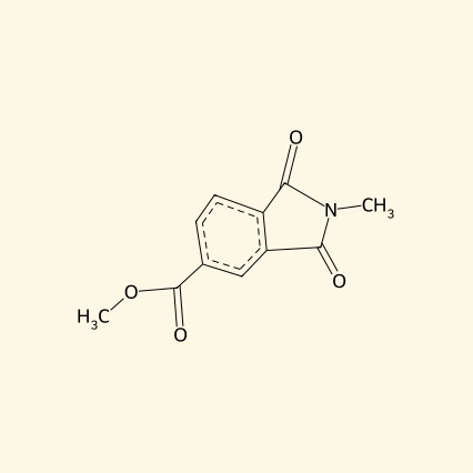 COC(=O)c1ccc2c(c1)C(=O)N(C)C2=O